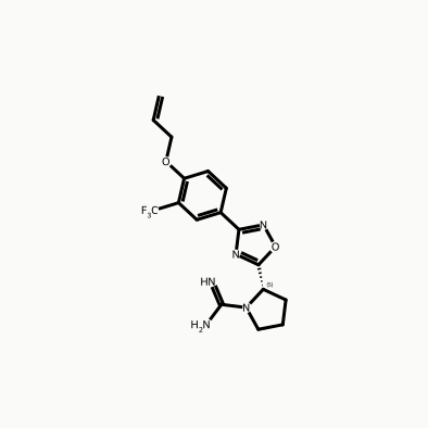 C=CCOc1ccc(-c2noc([C@@H]3CCCN3C(=N)N)n2)cc1C(F)(F)F